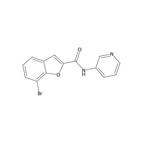 O=C(Nc1cccnc1)c1cc2cccc(Br)c2o1